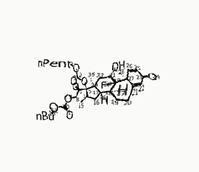 CCCCCOC(=O)O[C@]1(C(=O)COC(=O)OCCCC)[C@H](C)C[C@H]2[C@@H]3CCC4=CC(=O)C=C[C@]4(C)[C@@]3(F)[C@@H](O)C[C@@]21C